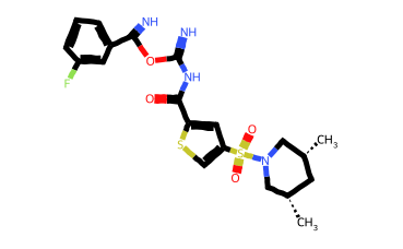 C[C@@H]1C[C@H](C)CN(S(=O)(=O)c2csc(C(=O)NC(=N)OC(=N)c3cccc(F)c3)c2)C1